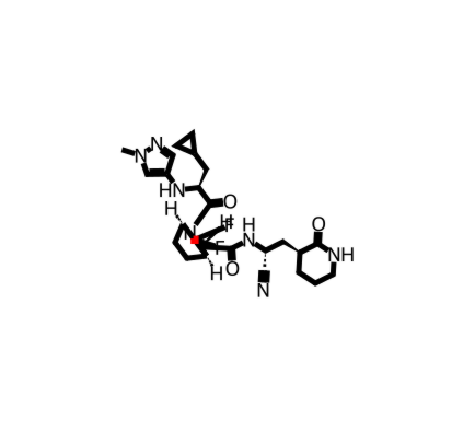 Cn1cc(N[C@@H](CC2CC2)C(=O)N2[C@@H]3CC[C@H]([C@H]2C(=O)N[C@@H](C#N)C[C@@H]2CCCNC2=O)C(F)(F)C3)cn1